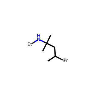 CCNC(C)(C)CC(C)C(C)C